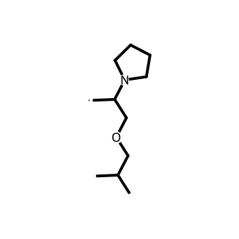 [CH2]C(COCC(C)C)N1CCCC1